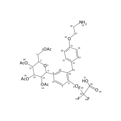 CC(=O)OCC1OC(c2ccc(Cl)c(Cc3ccc(OCCN)cc3)c2)C(OC(C)=O)C(OC(C)=O)C1OC(C)=O.O=C(O)C(F)(F)F